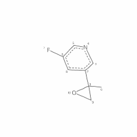 CC1(c2cncc(F)c2)CO1